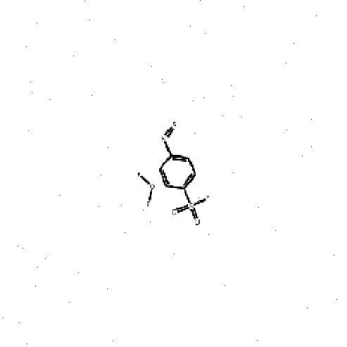 FOF.O=S(=O)(F)c1ccc(N=S)cc1